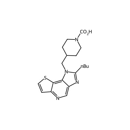 CCCCc1nc2cnc3ccsc3c2n1CC1CCN(C(=O)O)CC1